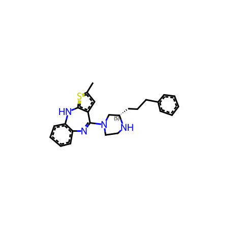 Cc1cc2c(s1)Nc1ccccc1N=C2N1CCN[C@@H](CCCc2ccccc2)C1